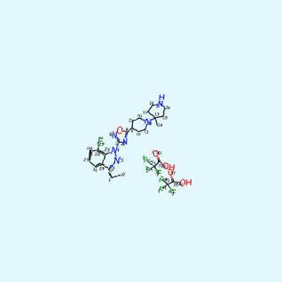 CCc1nn(-c2noc(C3CCN(C4(C)CCNCC4)CC3)n2)c2c(F)cccc12.O=C(O)C(F)(F)F.O=C(O)C(F)(F)F